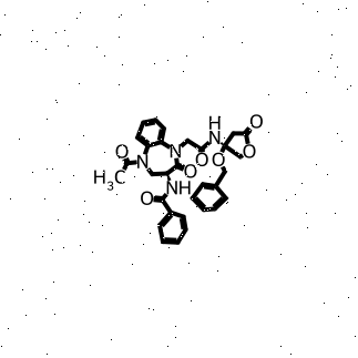 CC(=O)N1C[C@H](NC(=O)c2ccccc2)C(=O)N(CC(=O)N[C@@]2(OCc3ccccc3)COC(=O)C2)c2ccccc21